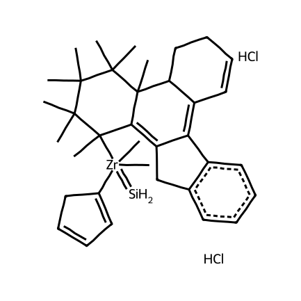 CC12C(=C3Cc4ccccc4C3=C3C=CCCC31)[C](C)([Zr]([CH3])([CH3])(=[SiH2])[C]1=CC=CC1)C(C)(C)C(C)(C)C2(C)C.Cl.Cl